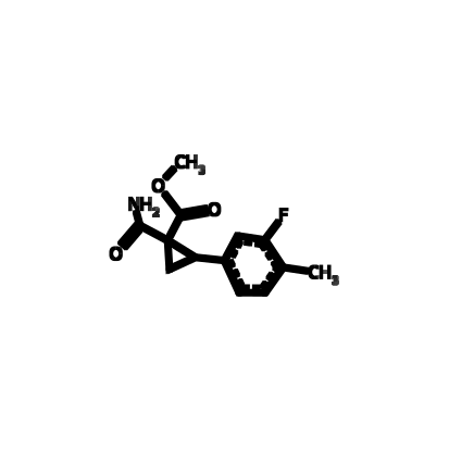 COC(=O)C1(C(N)=O)CC1c1ccc(C)c(F)c1